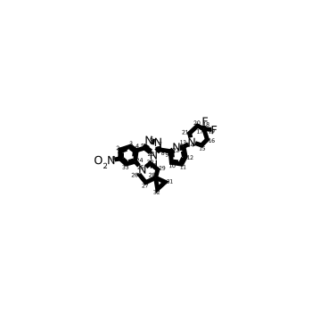 O=[N+]([O-])c1ccc(-c2nnc(-c3cccc(N4CCC(F)(F)CC4)n3)[nH]2)c(N2CCC3(CC2)CC3)c1